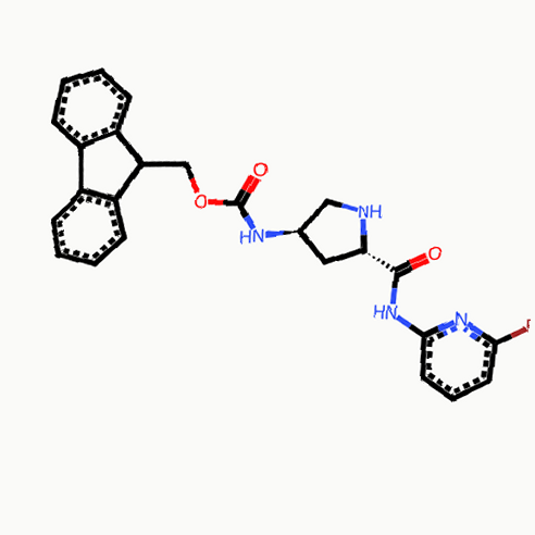 O=C(N[C@H]1CN[C@H](C(=O)Nc2cccc(Br)n2)C1)OCC1c2ccccc2-c2ccccc21